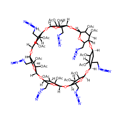 CC(=O)OC1[C@@H]2OC(CN=[N+]=[N-])[C@@H](O[C@H]3OC(CN=[N+]=[N-])[C@@H](O[C@H]4CC(CN=[N+]=[N-])[C@@H](O[C@H]5OC(CN=[N+]=[N-])[C@@H](O[C@@H]6OC(CN=[N+]=[N-])[C@H](O[C@@H]7OC(CN=[N+]=[N-])[C@H](O[C@@H]8OC(CN=[N+]=[N-])[C@@H](O2)[C@H](OC(C)=O)C8OC(C)=O)[C@@H](OC(C)=O)C7OC(C)=O)[C@@H](OC(C)=O)C6OC(C)=O)[C@H](OC(C)=O)C5OC(C)=O)[C@H](OC(C)=O)C4OC(C)=O)[C@H](OC(C)=O)C3OC(C)=O)[C@@H]1OC(C)=O